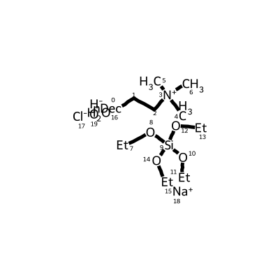 CCCCCCCCCCCC[N+](C)(C)C.CCO[Si](OCC)(OCC)OCC.O.[Cl-].[Na+].[OH-]